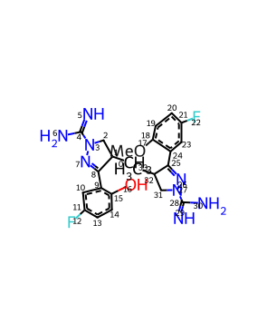 CC1CN(C(=N)N)N=C1c1cc(F)ccc1O.COc1ccc(F)cc1C1=NN(C(=N)N)CC1C